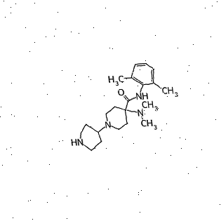 Cc1cccc(C)c1NC(=O)C1(N(C)C)CCN(C2CCNCC2)CC1